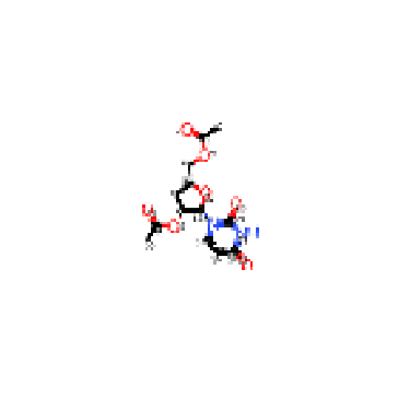 CC(=O)OC[C@@H]1C[C@@H](OC(C)=O)[C@H](n2ccc(=O)[nH]c2=O)O1